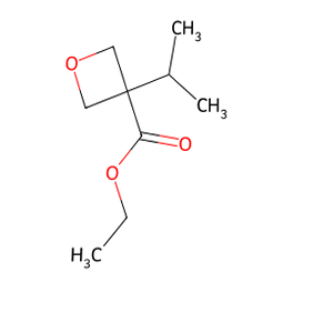 CCOC(=O)C1(C(C)C)COC1